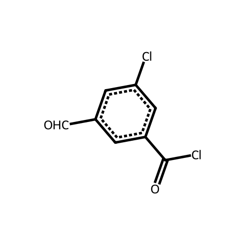 O=Cc1cc(Cl)cc(C(=O)Cl)c1